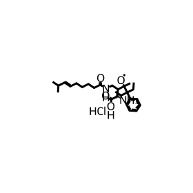 CCC(CC)(c1ccccc1)C(C)(OC)C(CNC(=O)CCCCC=CC(C)C)[C@H](N)C(=O)O.Cl